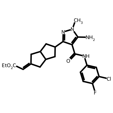 CCOC(=O)C=C1CC2CC(c3nn(C)c(N)c3C(=O)Nc3ccc(F)c(Cl)c3)CC2C1